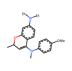 CCN(CC)c1ccc2c(c1)OC(C)C=C2N(C)c1ccc(OC)cc1